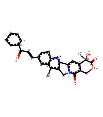 CCc1c2c(nc3ccc(C=CC(=O)c4ccccc4)cc13)-c1cc3c(c(=O)n1C2)COC(=O)[C@]3(O)CC